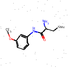 CSCC(N)C(=O)Nc1cccc(OC(F)(F)F)c1